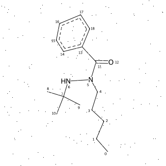 CCCCCN(NC(C)(C)C)C(=O)c1ccccc1